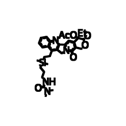 CC[C@@]1(OC(C)=O)C(=O)OCc2c1cc1n(c2=O)Cc2c-1nc1ccccc1c2CC[Si](C)(C)CCCNC(=O)N(C)C